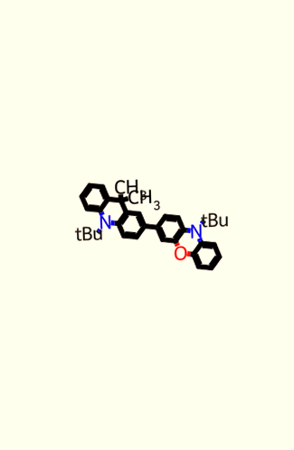 CC1(C)c2ccccc2N(C(C)(C)C)c2ccc(-c3ccc4c(c3)Oc3ccccc3N4C(C)(C)C)cc21